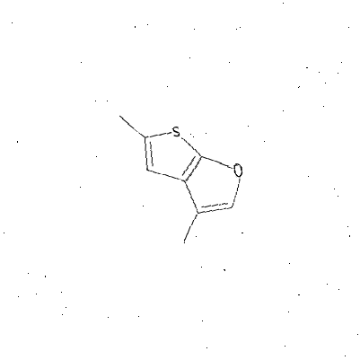 Cc1cc2c(C)coc2s1